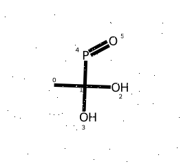 CC(O)(O)P=O